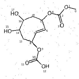 COC(=O)OC1/C=C/C(OC(=O)O)CC(O)C(O)C1